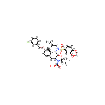 CC(C)CN(C[C@H]1OC(C)(C)N(C(=O)O)[C@H]1Cc1ccc(OCc2cccc(F)c2)cc1)S(=O)(=O)c1ccc2c(c1)OCO2